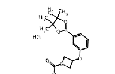 CC(C)(C)OC(=O)N1CC(Oc2cccc(B3OC(C)(C)C(C)(C)O3)c2)C1.Cl